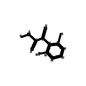 COC(=O)C(=O)c1c(C)cccc1F